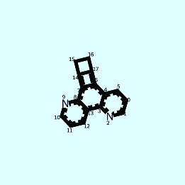 c1cnc2c(c1)c1c(c3ncccc32)=C2CCC=12